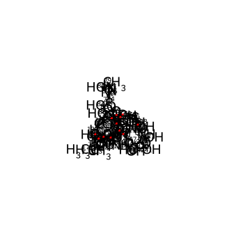 CN[C@@H](CC(C)C)C(=O)N[C@H]1C(=O)N[C@@H](CC(N)=O)C(=O)N[C@H]2C(=O)N[C@H]3C(=O)N[C@H](C(=O)N[C@@H](C(=O)O)c4cc(O)cc(O)c4-c4cc3ccc4O)[C@H](O)c3ccc(c(Cl)c3)Oc3cc2cc(c3OC2OC(CSc3nnc(C)c(O)n3)C(O)C(O)C2OC2CC(C)(NCc3ccc(-c4ccc(Cl)cc4)cc3)C(O)C(C)O2)Oc2ccc(cc2Cl)[C@H]1O